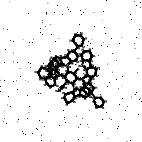 Cc1c(-n2c3ccc(-c4ccccc4)cc3c3ccc4c5ccccc5sc4c32)c(-n2c3ccccc3c3ccccc32)c(C#N)c(-n2c3ccccc3c3ccccc32)c1-n1c2ccc(-c3ccccc3)cc2c2ccc3c4ccccc4sc3c21